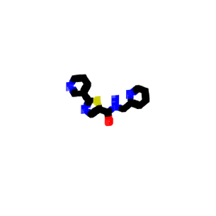 O=C(NCc1ccccn1)c1cnc(-c2cccnc2)s1